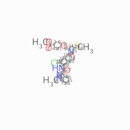 COC(=O)[C@H]1CC[C@H](OC[C@@H]2C[C@H](SC)CN2C(=O)Cc2cc(Cl)c(NC(=O)c3nn(C)c4ccccc34)cc2F)CC1